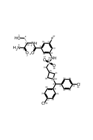 NC(=O)[C@H](CO)NC(=O)c1cc(F)cc(NS(=O)(=O)CC2CN(C(c3ccc(Cl)cc3)c3ccc(Cl)cc3)C2)c1